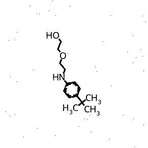 CC(C)(C)c1ccc(NCCOCCO)cc1